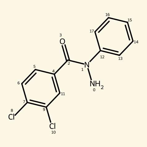 NN(C(=O)c1ccc(Cl)c(Cl)c1)c1ccccc1